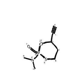 C#CC1CCSP(=O)(N(C)C)O1